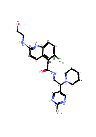 O=C(NCC(c1cnc(C(F)(F)F)nc1)N1CCCCC1)c1c(Cl)ccc2nc(NCCO)ccc12